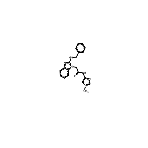 Cn1cnc(NC(=O)Cn2c(NCc3ccccc3)nc3ccccc32)c1